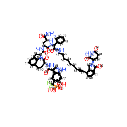 NC(=O)CC[C@H](NC(=O)[C@@H]1Cc2cccc3c2N1C(=O)[C@@H](NC(=O)c1c[nH]c2ccc(C(F)(F)P(=O)(O)O)cc12)CC3)C(=O)N[C@H](C(=O)NCCCCCCCC#Cc1cccc2c1CN(C1CCC(=O)NC1=O)C2=O)c1ccccc1